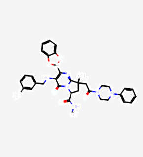 CCCNC(=O)C1CC(C)(CC(=O)N2CCN(c3ccccc3)CC2)c2nc(B3Oc4ccccc4O3)c(NCc3cccc(C(F)(F)F)c3)c(=O)n21